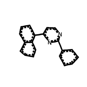 c1ccc(-c2nccc(-c3cccc4ccccc34)n2)cc1